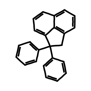 c1ccc(C2(c3ccccc3)Cc3cccc4cccc2c34)cc1